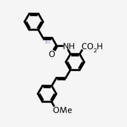 COc1cccc(C=Cc2ccc(C(=O)O)c(NC(=O)/C=C/c3ccccc3)c2)c1